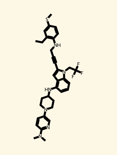 CCc1cc(SC)ccc1NCC#Cc1cc2c(NC3CCN(c4ccc(N(C)C)nc4)CC3)cccc2n1CC(F)(F)F